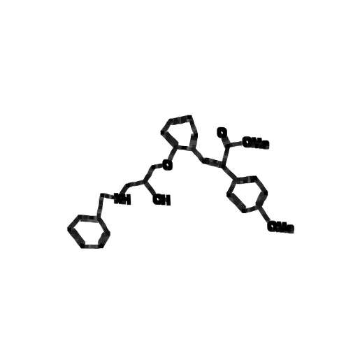 COC(=O)C(=Cc1ccccc1OCC(O)CNCc1ccccc1)c1ccc(OC)cc1